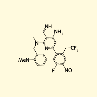 CNc1ccccc1CN(C)c1nc(-c2cc(F)c(N=O)cc2CC(F)(F)F)cc(N)c1C=N